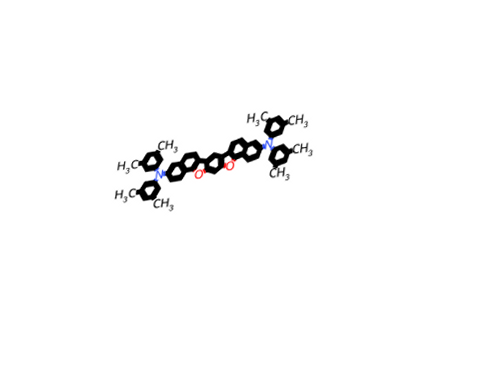 Cc1cc(C)cc(N(c2cc(C)cc(C)c2)c2ccc3c(ccc4c5cc6c(cc5oc34)oc3c4ccc(N(c5cc(C)cc(C)c5)c5cc(C)cc(C)c5)cc4ccc63)c2)c1